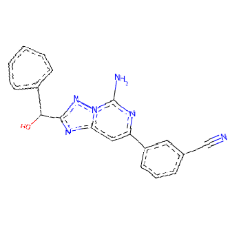 N#Cc1cccc(-c2cc3nc(C(O)c4ccccc4)nn3c(N)n2)c1